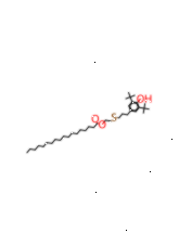 CCCCCCCCCCCCCCCCCC(=O)OCCSCCCc1cc(C(C)(C)C)c(O)c(C(C)(C)C)c1